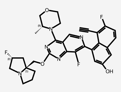 C#Cc1c(F)ccc2cc(O)cc(-c3ncc4c(N5CCOC[C@H]5C)nc(OC[C@@]56CCCN5C[C@H](F)C6)nc4c3F)c12